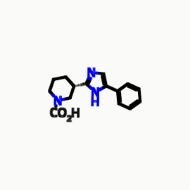 O=C(O)N1CCC[C@H](c2ncc(-c3ccccc3)[nH]2)C1